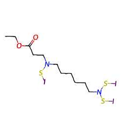 CCOC(=O)CCN(CCCCCCN(SI)SI)SI